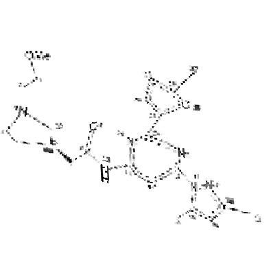 COCCN1CC[C@H](CC(=O)Nc2cc(-n3nc(C)cc3C)nc(-c3ccc(C)o3)n2)C1